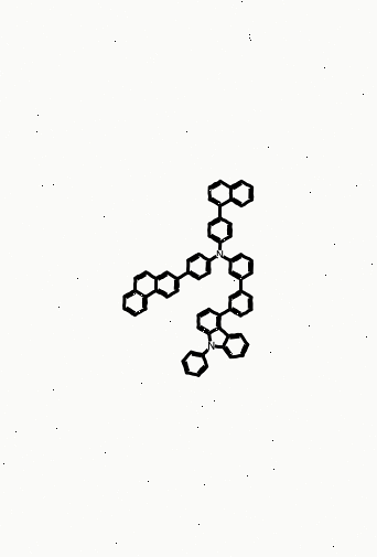 c1ccc(-n2c3ccccc3c3c(-c4cccc(-c5cccc(N(c6ccc(-c7ccc8c(ccc9ccccc98)c7)cc6)c6ccc(-c7cccc8ccccc78)cc6)c5)c4)cccc32)cc1